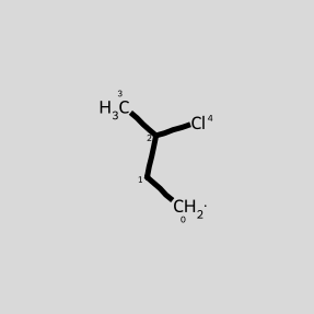 [CH2]CC(C)Cl